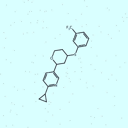 FC(F)(F)c1cccc(SC2CCOC(c3ccc(C4CC4)nc3)C2)c1